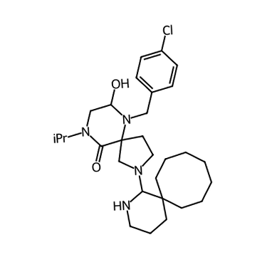 CC(C)N1CC(O)N(Cc2ccc(Cl)cc2)C2(CCN(C3NCCCC34CCCCCCC4)C2)C1=O